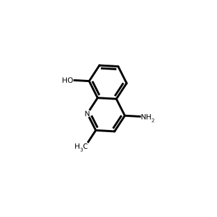 Cc1cc(N)c2cccc(O)c2n1